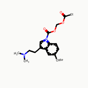 CCC(=O)OCOC(=O)n1cc(CCN(C)C)c2cc(OC)ccc21